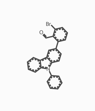 O=Cc1c(Br)cccc1-c1ccc2c(c1)c1ccccc1n2-c1ccccc1